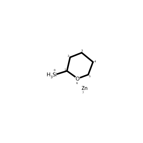 [SiH3]C1CCCCO1.[Zn]